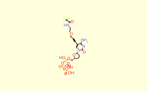 Nc1nc(=O)n([C@H]2CC[C@@H](COP(=O)(O)OP(=O)(O)OP(=O)(O)O)O2)cc1C#CCOCCNC(=O)C(F)(F)F